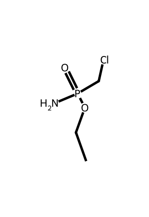 CCOP(N)(=O)CCl